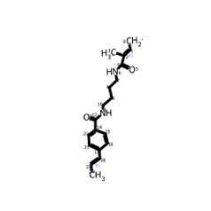 [CH2]/C=C(\C)C(=O)NCCCCNC(=O)c1ccc(/C=C/C)cc1